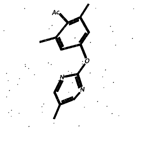 CC(=O)c1c(C)cc(Oc2ncc(C)cn2)cc1C